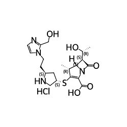 C[C@@H](O)[C@H]1C(=O)N2C(C(=O)O)=C(S[C@@H]3CN[C@@H](CCn4ccnc4CO)C3)[C@H](C)[C@H]12.Cl